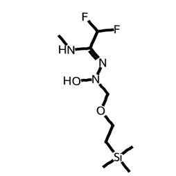 CN/C(=N\N(O)COCC[Si](C)(C)C)C(F)F